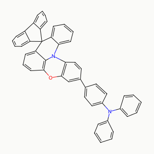 c1ccc(N(c2ccccc2)c2ccc(-c3ccc4c(c3)Oc3cccc5c3N4c3ccccc3C53c4ccccc4-c4ccccc43)cc2)cc1